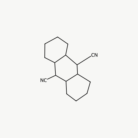 N#CC1C2CCCCC2C(C#N)C2CCCCC12